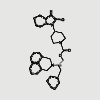 O=C(OC[C@H](Cc1ccccc1)N(Cc1ccccc1)Cc1ccccc1)N1CCC(n2c(=O)[nH]c3ccccc32)CC1